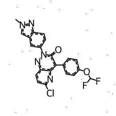 Cn1cc2cc(-n3nc4ccc(Cl)nc4c(-c4ccc(OC(F)F)cc4)c3=O)ccc2n1